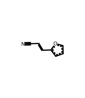 N#C/C=C/c1ccco1